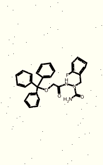 NC(=O)N(Cc1ccccc1F)NC(=O)COC(c1ccccc1)(c1ccccc1)c1ccccc1